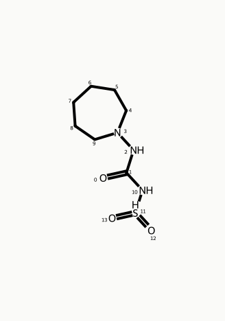 O=C(NN1CCCCCC1)N[SH](=O)=O